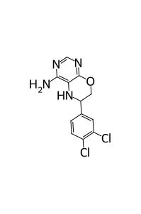 Nc1ncnc2c1NC(c1ccc(Cl)c(Cl)c1)CO2